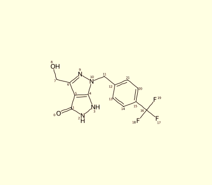 O=c1[nH][nH]c2c1c(CO)nn2Cc1ccc(C(F)(F)F)cc1